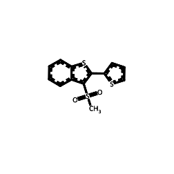 CS(=O)(=O)c1c(-c2cccs2)sc2ccccc12